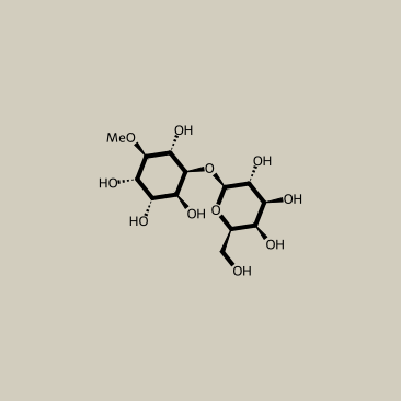 CO[C@H]1[C@H](O)[C@@H](O[C@@H]2O[C@H](CO)[C@H](O)[C@H](O)[C@H]2O)[C@@H](O)[C@H](O)[C@@H]1O